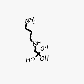 NCCCNCC(O)(O)O